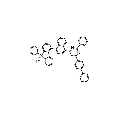 CC1(c2ccccc2)c2ccccc2-c2c(-c3ccc(-c4cc(-c5ccc(-c6ccccc6)cc5)nc(-c5ccccc5)n4)c4ccccc34)cccc21